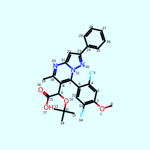 COc1cc(F)c(-c2c(C(OC(C)(C)C)C(=O)O)c(C)nc3cc(-c4ccccc4)nn23)cc1F